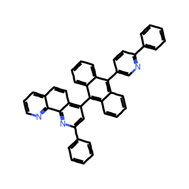 c1ccc(-c2ccc(-c3c4ccccc4c(-c4cc(-c5ccccc5)nc5c4ccc4cccnc45)c4ccccc34)cn2)cc1